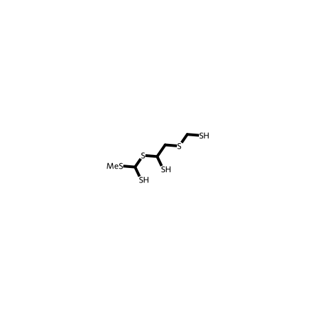 CSC(S)SC(S)CSCS